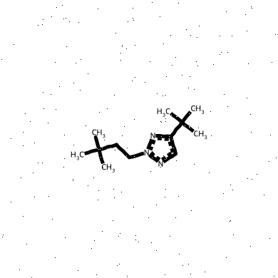 CC(C)(C)CCn1ncc(C(C)(C)C)n1